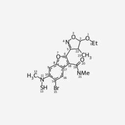 CCOC1ON=C(c2oc3cc(N(C)S)c(Br)cc3c2C(=O)NC)C1C